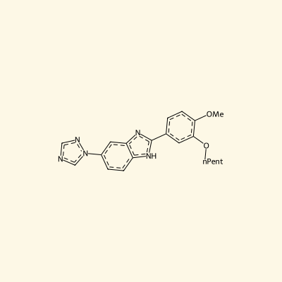 CCCCCOc1cc(-c2nc3cc(-n4cncn4)ccc3[nH]2)ccc1OC